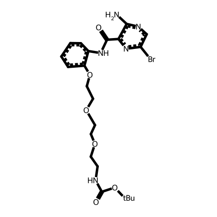 CC(C)(C)OC(=O)NCCOCCOCCOc1ccccc1NC(=O)c1nc(Br)cnc1N